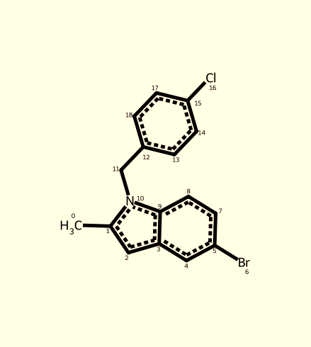 Cc1cc2cc(Br)ccc2n1Cc1ccc(Cl)cc1